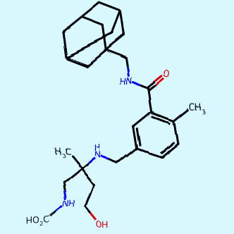 Cc1ccc(CNC(C)(CCO)CNC(=O)O)cc1C(=O)NCC12CC3CC(CC(C3)C1)C2